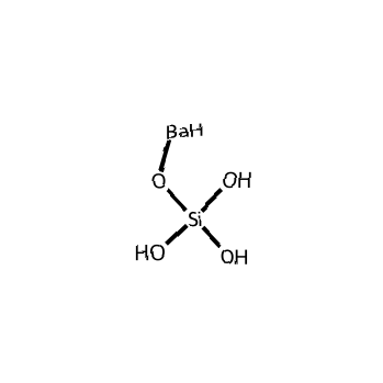 O[Si](O)(O)[O][BaH]